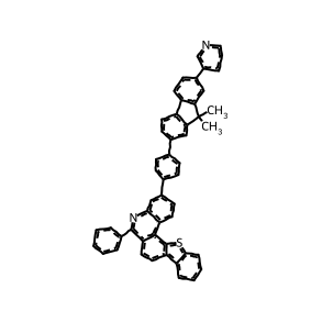 CC1(C)c2cc(-c3ccc(-c4ccc5c(c4)nc(-c4ccccc4)c4ccc6c7ccccc7sc6c45)cc3)ccc2-c2ccc(-c3cccnc3)cc21